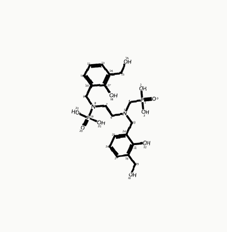 O=P(O)(O)CN(CCN(Cc1cccc(CO)c1O)P(=O)(O)O)Cc1cccc(CO)c1O